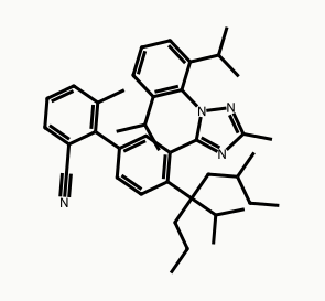 CCCC(CC(C)CC)(c1ccc(-c2c(C)cccc2C#N)cc1-c1nc(C)nn1-c1c(C(C)C)cccc1C(C)C)C(C)C